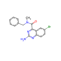 CN(Cc1ccccc1)C(=O)c1nc(N)nc2ccc(Br)cc12